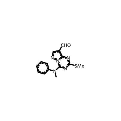 CSc1nc(N(C)c2ccccc2)n2ncc(C=O)c2n1